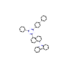 c1ccc(-c2ccc(-c3nc(-c4ccccc4)nc(-c4cccc5c(-n6c7ccccc7c7ccccc76)cccc45)n3)cc2)cc1